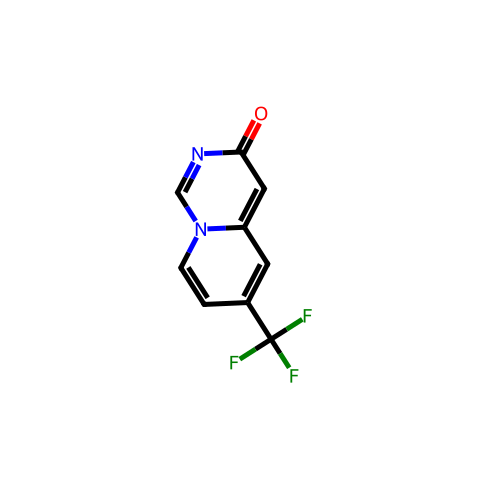 O=c1cc2cc(C(F)(F)F)ccn2cn1